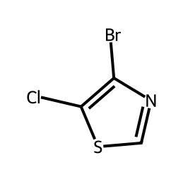 Clc1scnc1Br